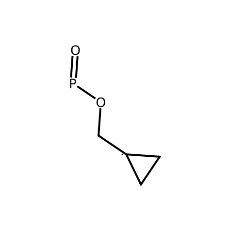 O=POC[C]1CC1